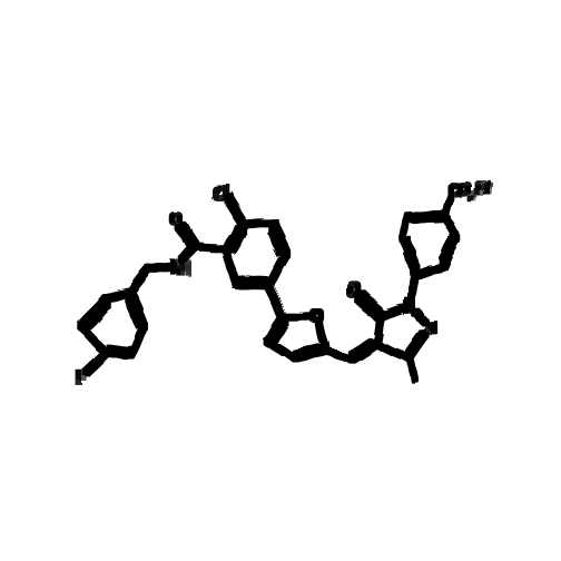 CCOC(=O)c1ccc(N2N=C(C)/C(=C/c3ccc(-c4ccc(Cl)c(C(=O)NCc5ccc(F)cc5)c4)o3)C2=O)cc1